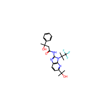 CC(C)(O)c1ccc2nc(NC(=O)CC(C)(O)c3ccccc3)n(C(C)(C)C(F)(F)F)c2n1